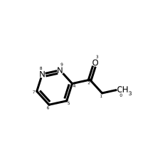 CCC(=O)c1cccnn1